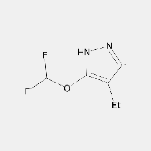 CCc1[c]n[nH]c1OC(F)F